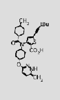 C=C1C=CC(O[C@H]2CC[C@H](N(c3cc(C#CC(C)(C)C)sc3C(=O)O)C(=O)[C@H]3CC[C@H](C)CC3)CC2)=NN1